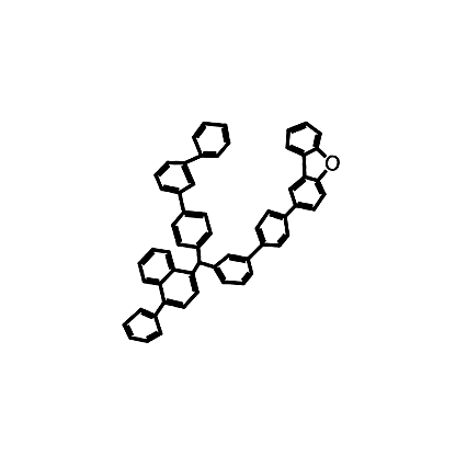 c1ccc(-c2cccc(-c3ccc(C(c4cccc(-c5ccc(-c6ccc7oc8ccccc8c7c6)cc5)c4)c4ccc(-c5ccccc5)c5ccccc45)cc3)c2)cc1